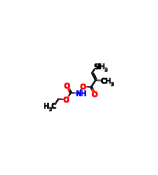 CCOC(=O)NOC(=O)C(C)=C[SiH3]